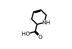 O=C(O)C1[C]C=CCN1